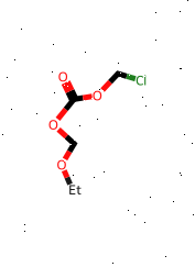 CCOCOC(=O)OCCl